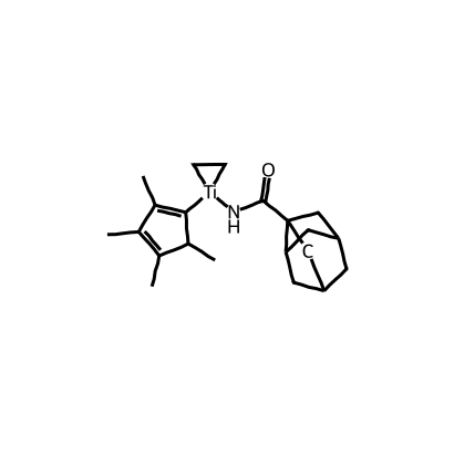 CC1=C(C)C(C)[C]([Ti]2([NH]C(=O)C34CC5CC(CC3C5)C4)[CH2][CH2]2)=C1C